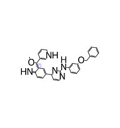 CO/C(C1=CNCC=C1)=C1/C=C(c2ccnc(Nc3cccc(OCc4ccccc4)c3)n2)C=CC1=N